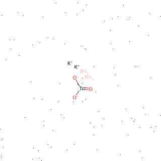 B.B.[K+].[K+].[O]=[Ti]([O-])[O-]